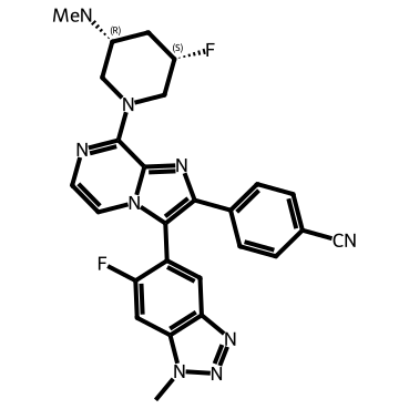 CN[C@@H]1C[C@H](F)CN(c2nccn3c(-c4cc5nnn(C)c5cc4F)c(-c4ccc(C#N)cc4)nc23)C1